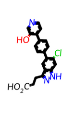 O=C(O)CCc1n[nH]c2cc(Cl)c(-c3ccc(-c4ccncc4O)cc3)cc12